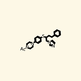 CC(=O)N1CCN(c2ccc(SC(CCc3ccccc3)Cn3ccnc3)cc2)CC1